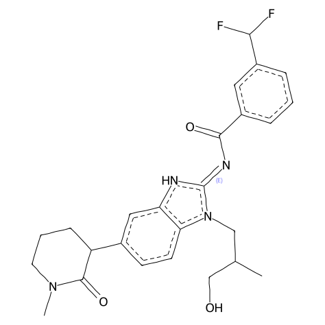 CC(CO)Cn1/c(=N/C(=O)c2cccc(C(F)F)c2)[nH]c2cc(C3CCCN(C)C3=O)ccc21